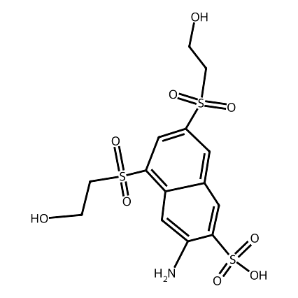 Nc1cc2c(S(=O)(=O)CCO)cc(S(=O)(=O)CCO)cc2cc1S(=O)(=O)O